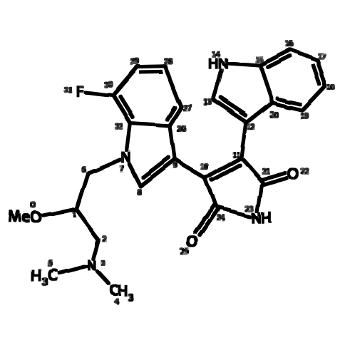 COC(CN(C)C)Cn1cc(C2=C(c3c[nH]c4ccccc34)C(=O)NC2=O)c2cccc(F)c21